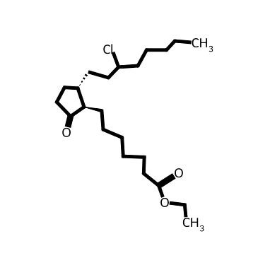 CCCCCC(Cl)CC[C@H]1CCC(=O)[C@@H]1CCCCCCC(=O)OCC